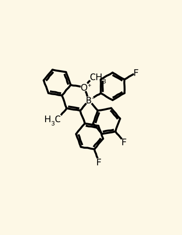 CC1=C(c2ccc(F)cc2)[B-](c2ccc(F)cc2)(c2ccc(F)cc2)[O+](C)c2ccccc21